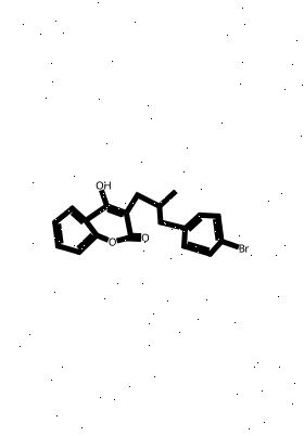 CC(Cc1ccc(Br)cc1)Cc1c(O)c2ccccc2oc1=O